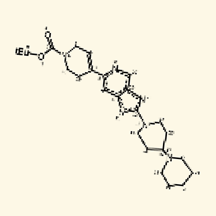 CC(C)(C)OC(=O)N1CC=C(c2cc3sc(N4CCC(N5CCCCC5)CC4)nc3cn2)CC1